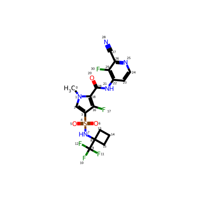 Cn1cc(S(=O)(=O)NC2(C(F)(F)F)CCC2)c(F)c1C(=O)Nc1ccnc(C#N)c1F